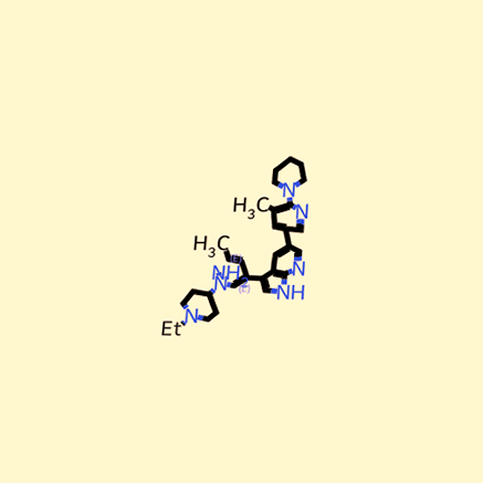 C/C=C/C(=C\N(N)C1CCN(CC)CC1)c1c[nH]c2ncc(-c3cnc(N4CCCCC4)c(C)c3)cc12